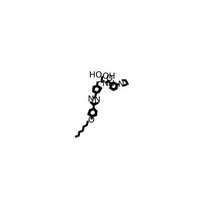 CCCCCCCOc1ccc(-c2cnc(-c3ccc(C[C@H](NC(=O)c4cccc(N5CCCC5)c4)C(O)O)cc3)nc2)cc1